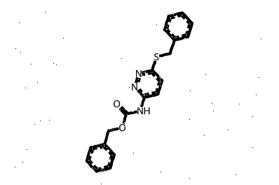 O=C(Nc1ccc(SCc2ccccc2)nn1)OCc1ccccc1